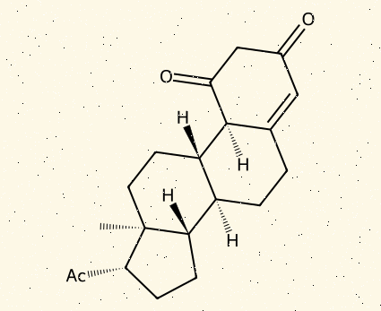 CC(=O)[C@H]1CC[C@H]2[C@@H]3CCC4=CC(=O)CC(=O)[C@@H]4[C@H]3CC[C@]12C